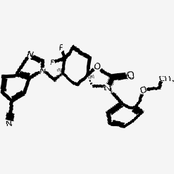 CCOc1ccccc1N1C[C@]2(CCC(F)(F)[C@H](Cn3cnc4ccc(C#N)cc43)C2)OC1=O